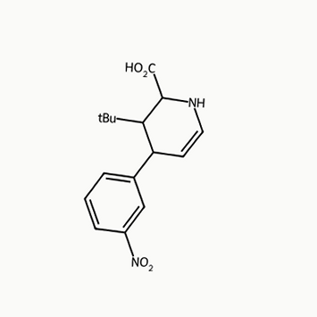 CC(C)(C)C1C(C(=O)O)NC=CC1c1cccc([N+](=O)[O-])c1